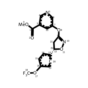 COC(=O)c1cncc(OC2=NO[C@H](c3ccc(OC(F)(F)F)cc3)C2)c1